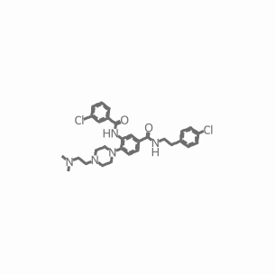 CN(C)CCN1CCN(c2ccc(C(=O)NCCc3ccc(Cl)cc3)cc2NC(=O)c2cccc(Cl)c2)CC1